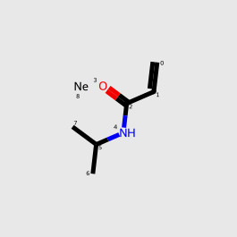 C=CC(=O)NC(C)C.[Ne]